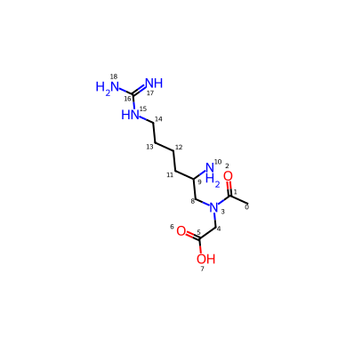 CC(=O)N(CC(=O)O)CC(N)CCCCNC(=N)N